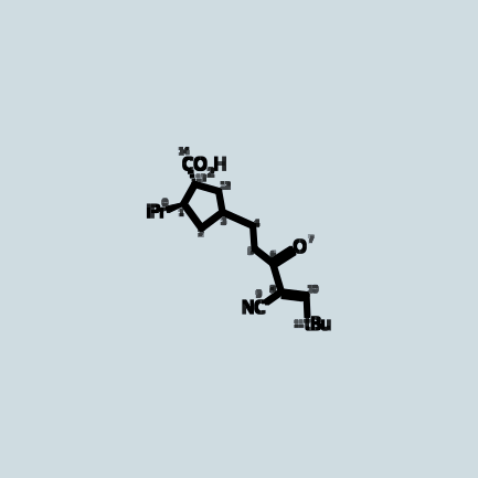 CC(C)[C@@H]1CC(CCC(=O)/C(C#N)=C/C(C)(C)C)C[C@H]1C(=O)O